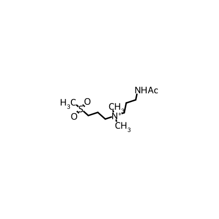 CC(=O)NCCC[N+](C)(C)CCCS(C)(=O)=O